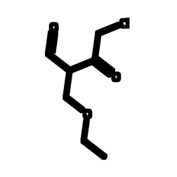 CCOCC(C=O)C(=O)CCl